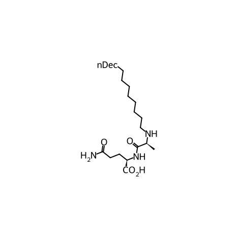 CCCCCCCCCCCCCCCCCCN[C@@H](C)C(=O)N[C@H](CCC(N)=O)C(=O)O